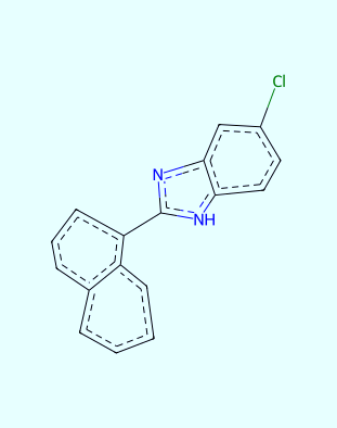 Clc1ccc2[nH]c(-c3cccc4ccccc34)nc2c1